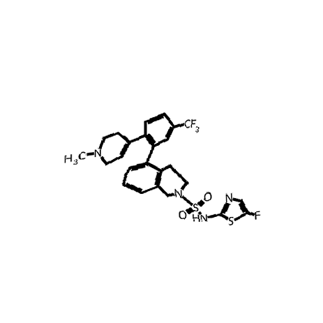 CN1CC=C(c2ccc(C(F)(F)F)cc2-c2cccc3c2CCN(S(=O)(=O)Nc2ncc(F)s2)C3)CC1